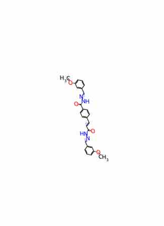 COc1cccc(/C=N/NC(=O)/C=C/c2ccc(C(=O)N/N=C/c3cccc(OC)c3)cc2)c1